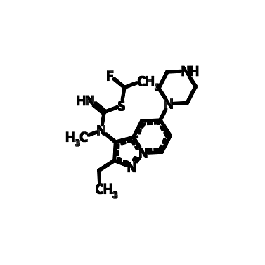 CCc1nn2ccc(N3CCNCC3)cc2c1N(C)C(=N)SC(C)F